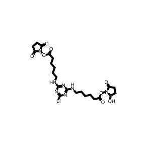 O=C(CCCCCNc1nc(Cl)nc(NCCCCCC(=O)ON2C(=O)CCC2O)n1)ON1C(=O)CCC1=O